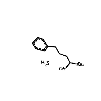 CCCCC(CCC)CCCc1ccccc1.S